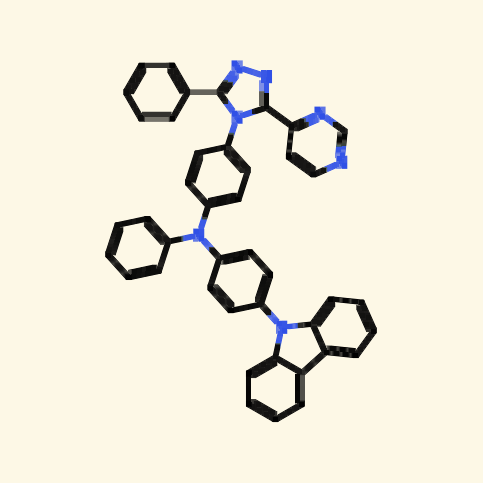 c1ccc(-c2nnc(-c3ccncn3)n2-c2ccc(N(c3ccccc3)c3ccc(-n4c5ccccc5c5ccccc54)cc3)cc2)cc1